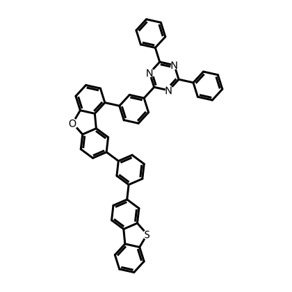 c1ccc(-c2nc(-c3ccccc3)nc(-c3cccc(-c4cccc5oc6ccc(-c7cccc(-c8ccc9c(c8)sc8ccccc89)c7)cc6c45)c3)n2)cc1